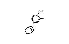 Cc1cc([C@@H]2CC3CCC2C3)ccc1O